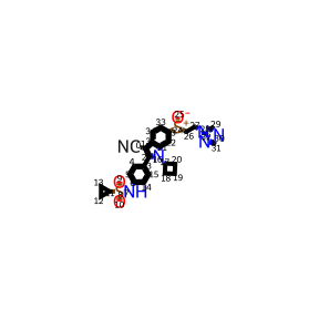 N#Cc1c(-c2ccc(NS(=O)(=O)C3CC3)cc2)n(C2CCC2)c2cc([S+]([O-])CCn3cncn3)ccc12